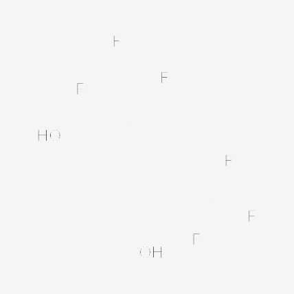 Oc1cc(O)c(C(F)(F)F)cc1C(F)(F)F